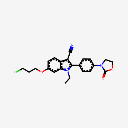 CCn1c(-c2ccc(N3CCOC3=O)cc2)c(C#N)c2ccc(OCCCCl)cc21